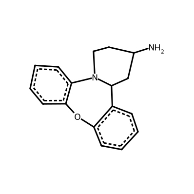 NC1CCN2c3ccccc3Oc3ccccc3C2C1